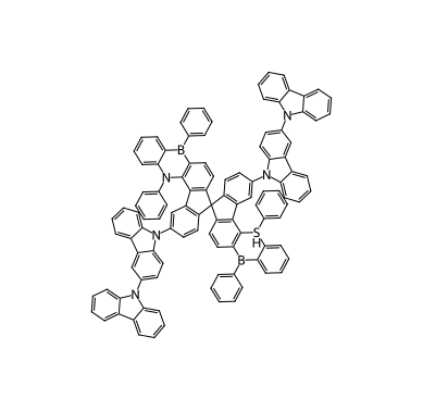 c1ccc(B2c3ccccc3N(c3ccccc3)c3c2ccc2c3-c3cc(-n4c5ccccc5c5cc(-n6c7ccccc7c7ccccc76)ccc54)ccc3C23c2ccc(-n4c5ccccc5c5cc(-n6c7ccccc7c7ccccc76)ccc54)cc2-c2c3ccc3c2[SH](c2ccccc2)c2ccccc2B3c2ccccc2)cc1